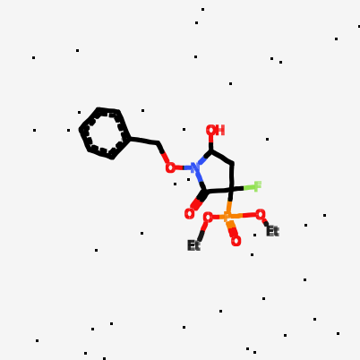 CCOP(=O)(OCC)C1(F)CC(O)N(OCc2ccccc2)C1=O